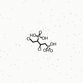 O=P(O)(O)CC(Cl)C(CCl)P(=O)(O)O